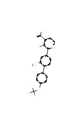 [C-]#[N+]c1cc(-c2nccc(C(=O)O)c2F)ccc1-c1ccc(OC(F)(F)F)cc1